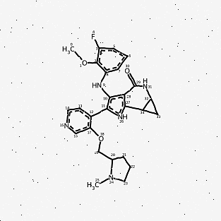 COc1c(F)cccc1Nc1c(-c2ccncc2OCC2CCCN2C)[nH]c2c1C(=O)NC1CC21